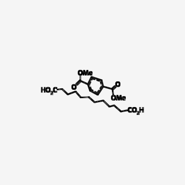 COC(=O)c1ccc(C(=O)OC)cc1.O=C(O)CCCCCCCCCCC(=O)O